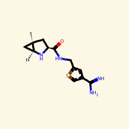 C[C@]12C[C@@H](C(=O)NCc3cc(C(=N)N)cs3)N[C@H]1C2